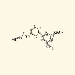 C#CCOc1cccc(-c2cc(C(F)(F)F)nc(SC)n2)c1